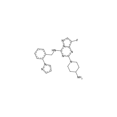 NC1CCN(c2nc(NCc3ccccc3-n3cccn3)n3ncc(F)c3n2)CC1